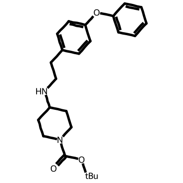 CC(C)(C)OC(=O)N1CCC(NCCc2ccc(Oc3ccccc3)cc2)CC1